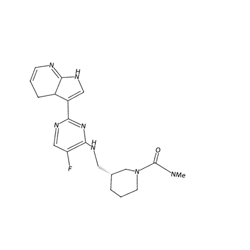 CNC(=O)N1CCC[C@H](CNc2nc(C3=CNC4=NC=CCC34)ncc2F)C1